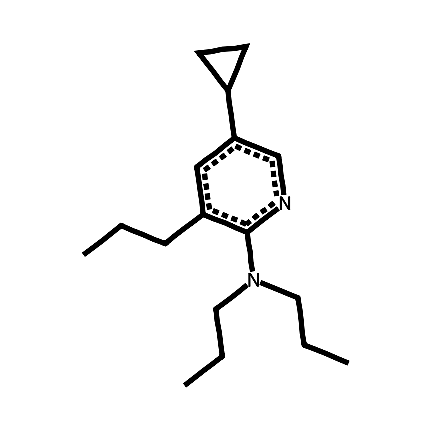 CCCc1cc(C2CC2)cnc1N(CCC)CCC